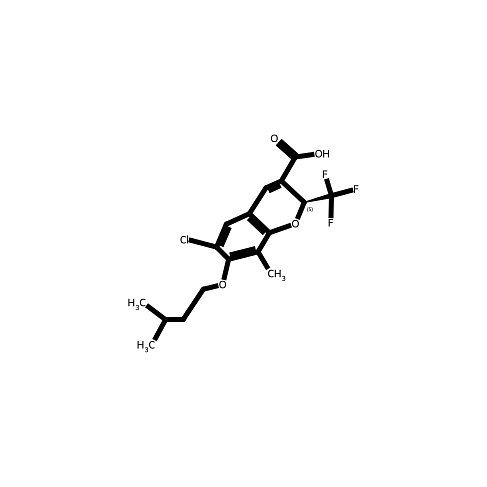 Cc1c(OCCC(C)C)c(Cl)cc2c1O[C@H](C(F)(F)F)C(C(=O)O)=C2